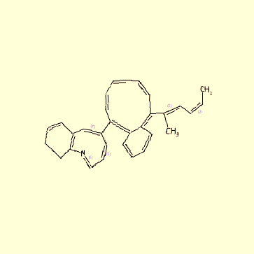 C/C=C\C=C(/C)c1ccccccc(C2=C/C3=C(CCC=C3)/N=C/C=C\2)c2ccccc12